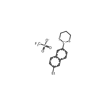 CCc1ccc2cc([C+]3SCCCS3)ccc2c1.O=S(=O)([O-])C(F)(F)F